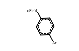 [CH2]CCCCc1ccc(C(C)=O)cc1